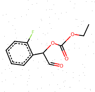 CCOC(=O)OC([C]=O)c1ccccc1F